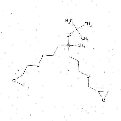 C[Si](C)(C)O[Si](C)(CCCOCC1CO1)CCCOCC1CO1